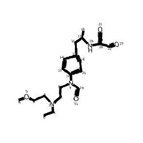 CCN(CCOC)CCN(C=O)c1ccc(CC(C)NC(=O)C=O)cc1